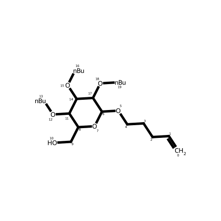 C=CCCCOC1OC(CO)C(OCCCC)C(OCCCC)C1OCCCC